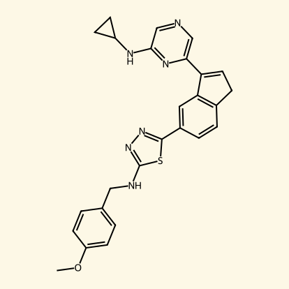 COc1ccc(CNc2nnc(-c3ccc4c(c3)C(c3cncc(NC5CC5)n3)=CC4)s2)cc1